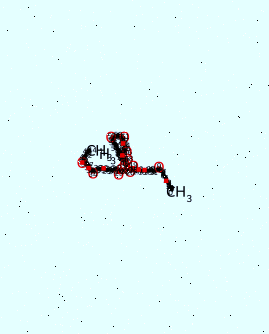 CCCCCCCCC1OC1CCCCCCCC(=O)OC(COC(=O)CCCCCCCC1OC1CCC1OC1CCCC)COC(=O)CCCCCCCC1OC1CC1OC1CCC1OC1C